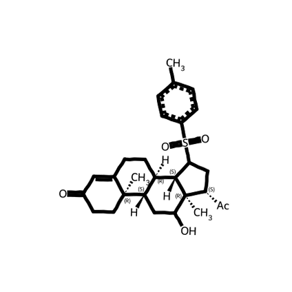 CC(=O)[C@H]1CC(S(=O)(=O)c2ccc(C)cc2)[C@H]2[C@@H]3CCC4=CC(=O)CC[C@]4(C)[C@H]3CC(O)[C@]12C